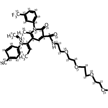 C=NN(/C(=C\C)c1cc(C(=O)NCCOCCOCCOCCOCCC)c(=O)n(-c2cccc(C(F)(F)F)c2)c1C)c1ccc(C#N)cc1